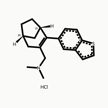 CN(C)CC1=C(c2ccc3sccc3c2)[C@H]2CC[C@@H](C1)C2.Cl